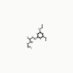 CCOc1cc(CC)cc(OCC(C)NCN)c1